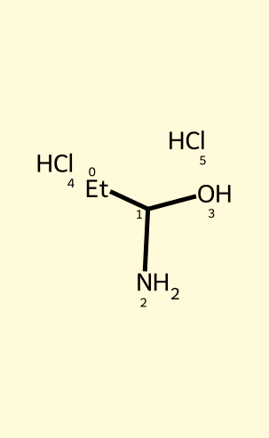 CCC(N)O.Cl.Cl